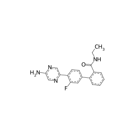 CCNC(=O)c1ccccc1-c1ccc(-c2cnc(N)cn2)c(F)c1